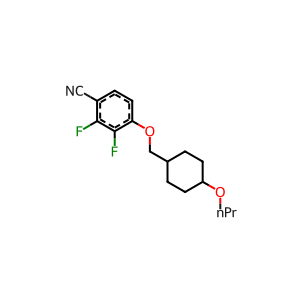 CCCOC1CCC(COc2ccc(C#N)c(F)c2F)CC1